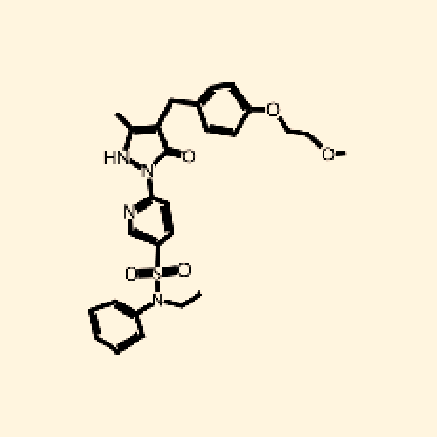 CCN(c1ccccc1)S(=O)(=O)c1ccc(-n2[nH]c(C)c(Cc3ccc(OCCOC)cc3)c2=O)nc1